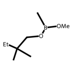 CCC(C)(C)COB(C)OC